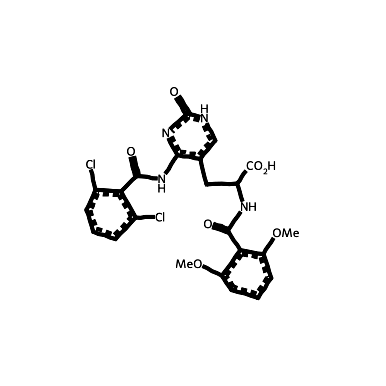 COc1cccc(OC)c1C(=O)NC(Cc1c[nH]c(=O)nc1NC(=O)c1c(Cl)cccc1Cl)C(=O)O